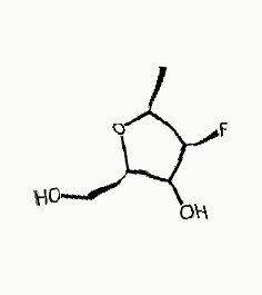 C[C@@H]1O[C@H](CO)C(O)[C@@H]1F